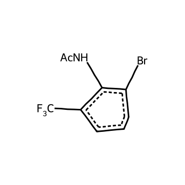 CC(=O)Nc1c(Br)cccc1C(F)(F)F